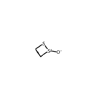 [O-][S+]1CCS1